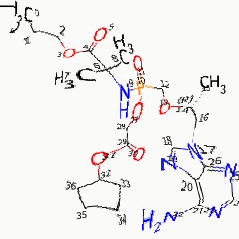 CCCOC(=O)C(C)(C)NP(=O)(CO[C@H](C)Cn1cnc2c(N)ncnc21)OCC(=O)OC1CCCC1